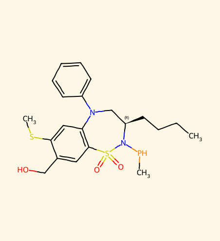 CCCC[C@@H]1CN(c2ccccc2)c2cc(SC)c(CO)cc2S(=O)(=O)N1PC